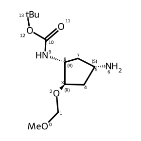 COCO[C@@H]1C[C@@H](N)C[C@H]1NC(=O)OC(C)(C)C